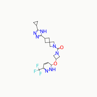 O=C(N1CC(OC2C=CC(C(F)(F)F)=NN2)C1)N1CC2(CC(c3nnc(C4CC4)[nH]3)C2)C1